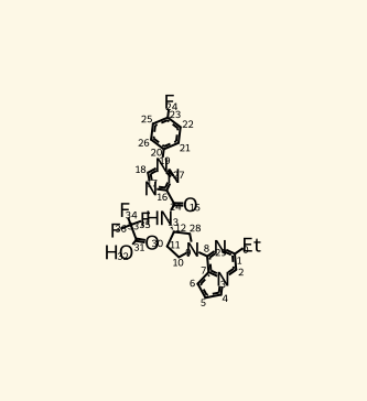 CCc1cn2cccc2c(N2CC[C@H](NC(=O)c3ncn(-c4ccc(F)cc4)n3)C2)n1.O=C(O)C(F)(F)F